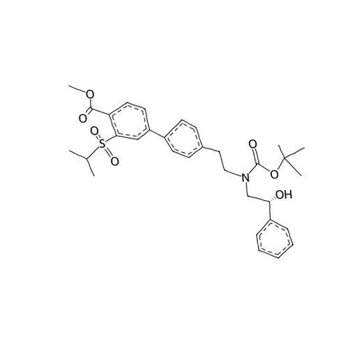 COC(=O)c1ccc(-c2ccc(CCN(C[C@H](O)c3ccccc3)C(=O)OC(C)(C)C)cc2)cc1S(=O)(=O)C(C)C